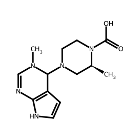 C[C@H]1CN(C2c3cc[nH]c3N=CN2C)CCN1C(=O)O